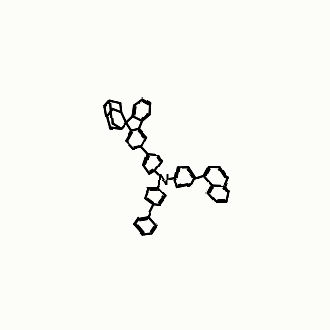 c1ccc(-c2ccc(N(c3ccc(-c4ccc5c(c4)-c4ccccc4C54C5CC6CC(C5)CC4C6)cc3)c3ccc(-c4cccc5ccccc45)cc3)cc2)cc1